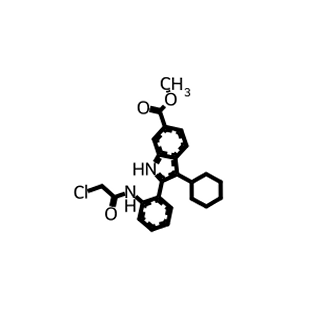 COC(=O)c1ccc2c(C3CCCCC3)c(-c3ccccc3NC(=O)CCl)[nH]c2c1